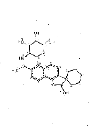 COc1ccc2cc(C3(C(=O)O)CCCCC3)ccc2c1[C@H]1O[C@@H](C)[C@@H](O)[C@@H](O)[C@@H]1O